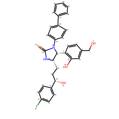 OCc1ccc([C@@H]2[C@H](CC[C@H](O)c3ccc(F)cc3)NC(=S)N2c2ccc(-c3ccccc3)cc2)c(O)c1